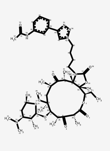 CC[C@H]1OC(=O)[C@H](C)C(=O)[C@H](C)[C@@H](O[C@@H]2O[C@H](C)C[C@H](N(C)C)[C@H]2C)[C@@](C)(OC)C[C@@H](C)C(=O)[C@H](C)[C@@H]2N(CCCCn3cc(-c4cccc(NC(C)=O)c4)nn3)C(=O)O[C@@]21C